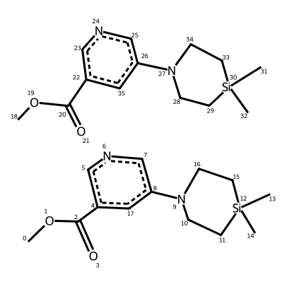 COC(=O)c1cncc(N2CC[Si](C)(C)CC2)c1.COC(=O)c1cncc(N2CC[Si](C)(C)CC2)c1